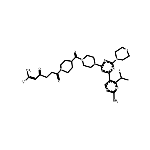 CC(C)=CC(=O)CCC(=O)N1CCC(C(=O)N2CCN(c3nc(-c4cnc(N)nc4C(F)F)nc(N4CCOCC4)n3)CC2)CC1